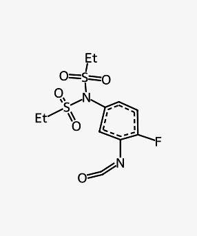 CCS(=O)(=O)N(c1ccc(F)c(N=C=O)c1)S(=O)(=O)CC